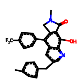 Cc1ccc(Cc2cnc3c(O)c4c(c(-c5ccc(C(F)(F)F)cc5)c3c2)CN(C)C4=O)cc1